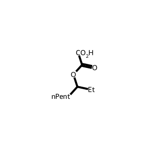 CCCCCC(CC)OC(=O)C(=O)O